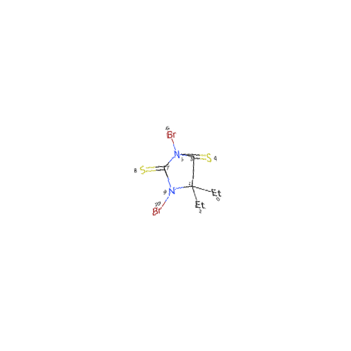 CCC1(CC)C(=S)N(Br)C(=S)N1Br